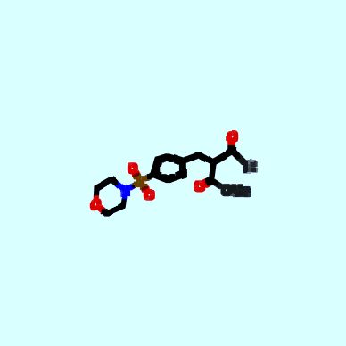 CCC(=O)C(Cc1ccc(S(=O)(=O)N2CCOCC2)cc1)C(=O)OC